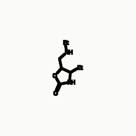 CCNCC1OC(=O)NC1CC